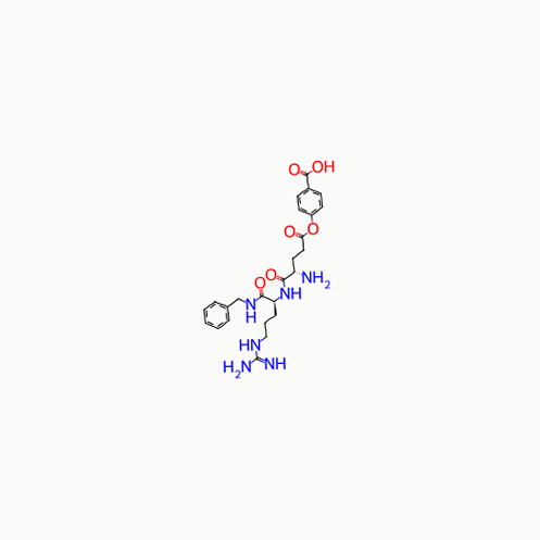 N=C(N)NCCC[C@H](NC(=O)[C@@H](N)CCC(=O)Oc1ccc(C(=O)O)cc1)C(=O)NCc1ccccc1